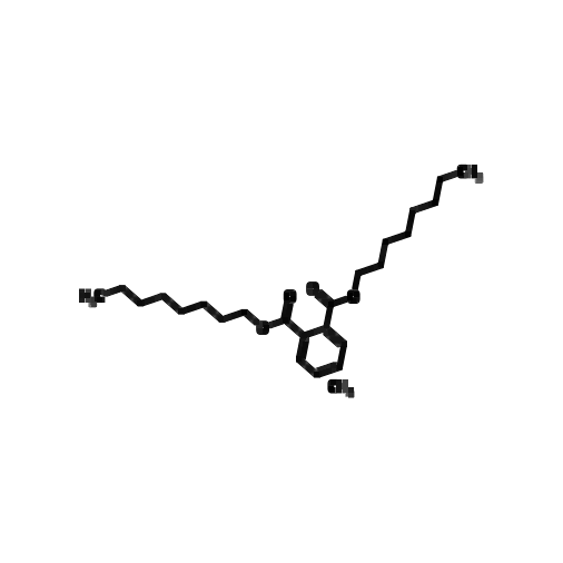 C.CCCCCCCCOC(=O)c1ccccc1C(=O)OCCCCCCCC